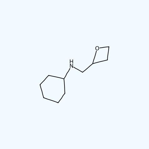 C1CCC(NCC2CCO2)CC1